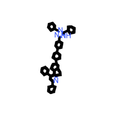 c1ccc(C2=NC(c3ccc(-c4ccc(-c5ccc6c(ccc7nc(-c8ccccc8)cc(-c8ccccc8)c76)c5)cc4)cc3)NC(c3ccccc3)=N2)cc1